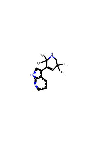 CC1(C)C=C(c2c[nH]c3ncccc23)C(C)(C)NC1